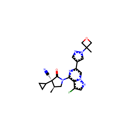 C[C@@H]1CN(c2nc(-c3cnn(C4(C)COC4)c3)cn3ncc(F)c23)C(=O)[C@]1(C#N)C1CC1